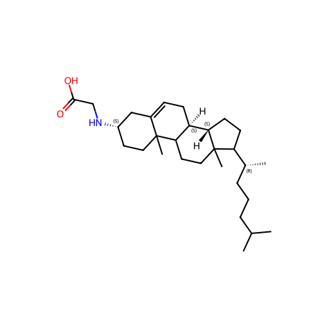 CC(C)CCC[C@@H](C)C1CC[C@H]2[C@@H]3CC=C4C[C@@H](NCC(=O)O)CCC4(C)C3CCC12C